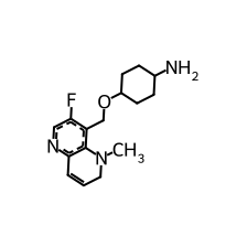 CN1CC=Cc2ncc(F)c(COC3CCC(N)CC3)c21